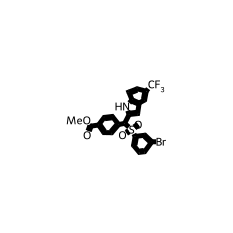 COC(=O)c1ccc(C(c2cc3cc(C(F)(F)F)ccc3[nH]2)S(=O)(=O)c2cccc(Br)c2)cc1